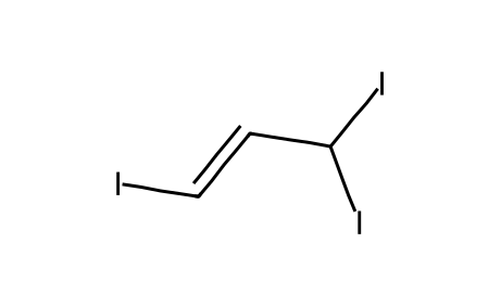 IC=CC(I)I